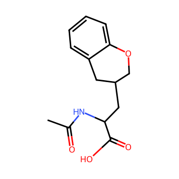 CC(=O)NC(CC1COc2ccccc2C1)C(=O)O